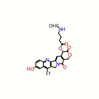 CCc1c2c(nc3ccc(O)cc13)-c1cc3c(c(=O)n1C2)COC(=O)C3OC(=O)CCCNC=O